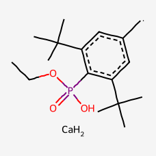 [CH2]c1cc(C(C)(C)C)c(P(=O)(O)OCC)c(C(C)(C)C)c1.[CaH2]